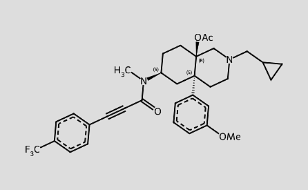 COc1cccc([C@@]23CCN(CC4CC4)C[C@@]2(OC(C)=O)CC[C@H](N(C)C(=O)C#Cc2ccc(C(F)(F)F)cc2)C3)c1